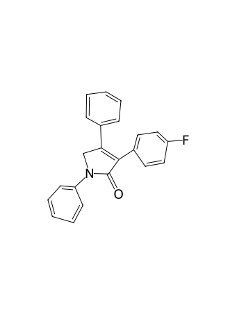 O=C1C(c2ccc(F)cc2)=C(c2ccccc2)CN1c1ccccc1